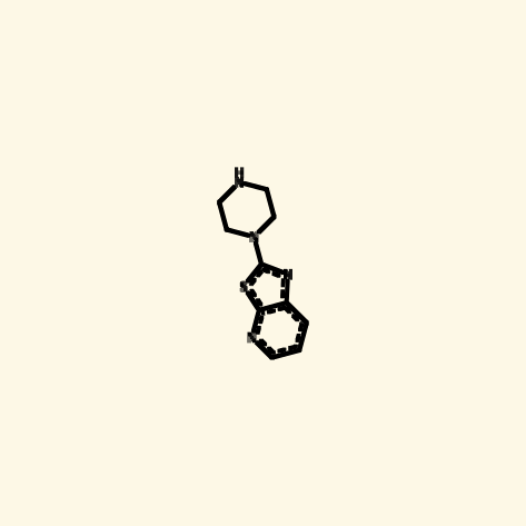 c1cnc2sc(N3CCNCC3)nc2c1